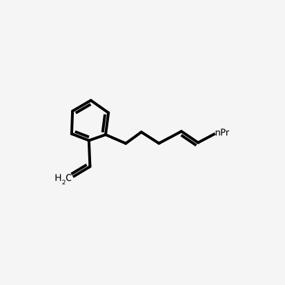 C=Cc1ccccc1CCCC=CCCC